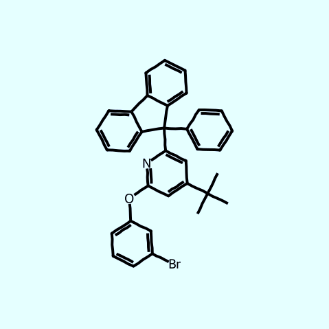 CC(C)(C)c1cc(Oc2cccc(Br)c2)nc(C2(c3ccccc3)c3ccccc3-c3ccccc32)c1